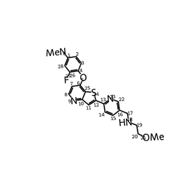 CNc1ccc(Oc2ccnc3cc(-c4ccc(CNCCOC)cn4)sc23)c(F)c1